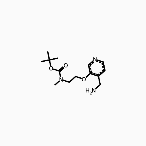 CN(CCOc1cnccc1CN)C(=O)OC(C)(C)C